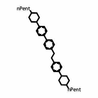 CCCCCC1CCC(c2ccc(CCc3ccc(-c4ccc(C5CCC(CCCCC)CC5)cc4)cc3)cc2)CC1